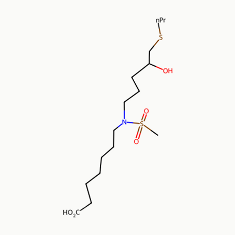 CCCSCC(O)CCCN(CCCCCCC(=O)O)S(C)(=O)=O